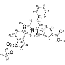 COC(=O)c1ccc([C@@]2([SiH3])C[C@H](c3ccccc3)CCN2Cc2c(OC)cc(C)c3c2ccn3C(=O)OC(C)(C)C)cc1